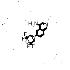 Nc1cncc2ccc(N3CC(F)(F)OC(F)(F)C3)cc12